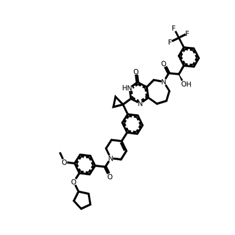 COc1ccc(C(=O)N2CC=C(c3cccc(C4(c5nc6c(c(=O)[nH]5)CN(C(=O)[C@H](O)c5cccc(C(F)(F)F)c5)CCC6)CC4)c3)CC2)cc1OC1CCCC1